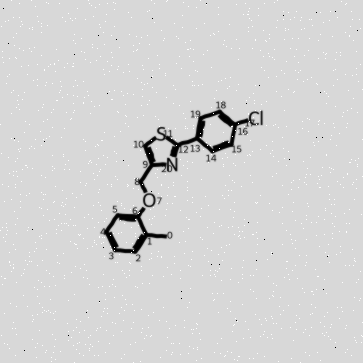 Cc1ccccc1OCc1csc(-c2ccc(Cl)cc2)n1